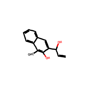 C=CC(O)c1cc2ccccc2c(C=O)c1O